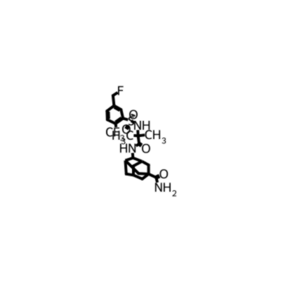 CC(C)(NS(=O)(=O)c1cc(CF)ccc1C(F)(F)F)C(=O)NC1C2CC3CC1CC(C(N)=O)(C3)C2